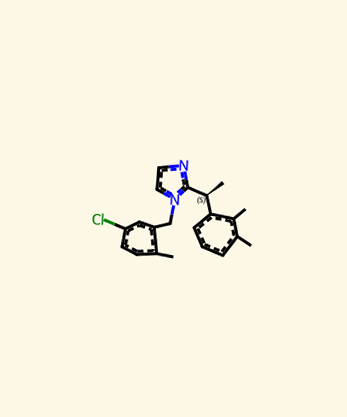 Cc1ccc(Cl)cc1Cn1ccnc1[C@@H](C)c1cccc(C)c1C